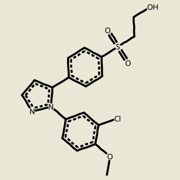 COc1ccc(-n2nccc2-c2ccc(S(=O)(=O)CCO)cc2)cc1Cl